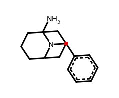 NC12CCCC(CCC1)N2Cc1ccccc1